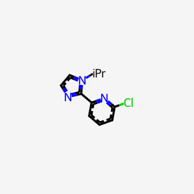 CC(C)n1ccnc1-c1cccc(Cl)n1